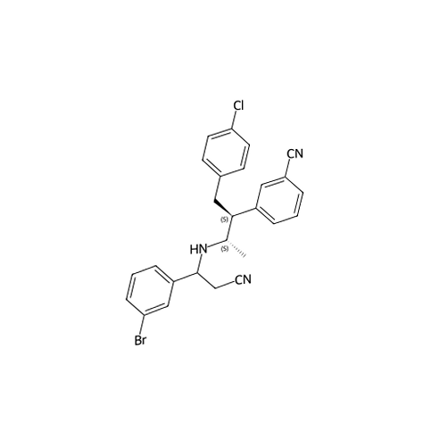 C[C@H](NC(CC#N)c1cccc(Br)c1)[C@@H](Cc1ccc(Cl)cc1)c1cccc(C#N)c1